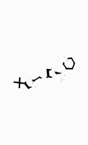 CC(C)(C)c1cnc(CSc2cnc(N[C@H]3CCCNC3)s2)o1